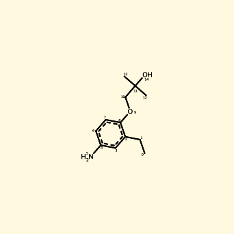 CCc1cc(N)ccc1OCC(C)(C)O